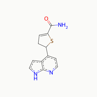 NC(=O)C1=CCC(c2ccnc3[nH]ccc23)S1